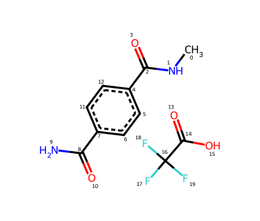 CNC(=O)c1ccc(C(N)=O)cc1.O=C(O)C(F)(F)F